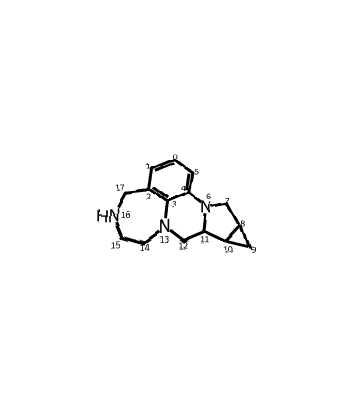 c1cc2c3c(c1)N1CC4CC4C1CN3CCNC2